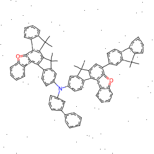 CC1(C)c2ccccc2-c2ccc(-c3cc4c(c5c3oc3ccccc35)-c3ccc(N(c5cccc(-c6ccccc6)c5)c5ccc6c(c5)C(C)(C)c5c7c(c8oc9ccccc9c8c5-6)-c5ccccc5C7(C)C)cc3C4(C)C)cc21